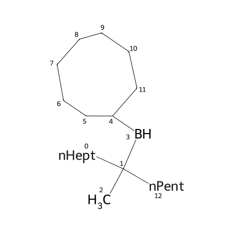 CCCCCCCC(C)(BC1CCCCCCC1)CCCCC